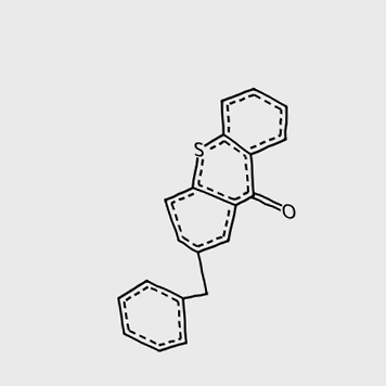 O=c1c2ccccc2sc2ccc(Cc3ccccc3)cc12